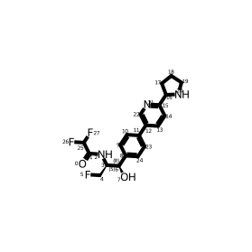 O=C(N[C@H](CF)[C@H](O)c1ccc(-c2ccc(C3CCCN3)nc2)cc1)C(F)F